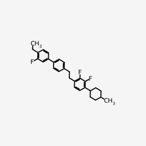 CCc1ccc(-c2ccc(CCc3ccc(C4CCC(C)CC4)c(F)c3F)cc2)cc1F